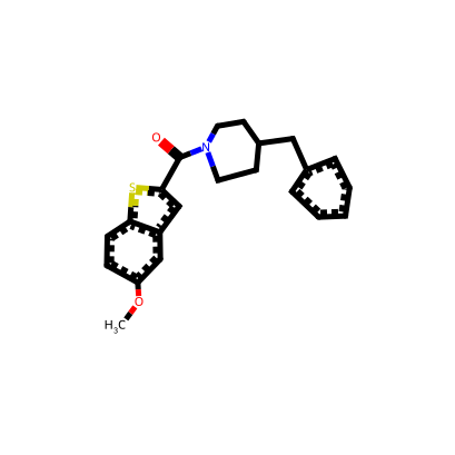 COc1ccc2sc(C(=O)N3CCC(Cc4ccccc4)CC3)cc2c1